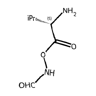 CC(C)[C@H](N)C(=O)ONC=O